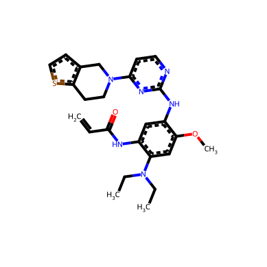 C=CC(=O)Nc1cc(Nc2nccc(N3CCc4sccc4C3)n2)c(OC)cc1N(CC)CC